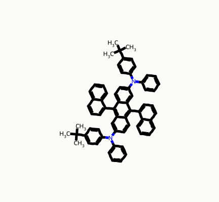 CC(C)(C)c1ccc(N(c2ccccc2)c2ccc3c(-c4cccc5ccccc45)c4cc(N(c5ccccc5)c5ccc(C(C)(C)C)cc5)ccc4c(-c4cccc5ccccc45)c3c2)cc1